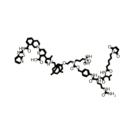 Cc1c(-c2ccc(N3CCc4cccc(C(=O)Nc5nc6cccnc6s5)c4C3)nc2C(=O)O)cnn1CC12CC3(C)CC(C)(C1)CC(OCCN(CCCP(=O)(O)O)C(=O)OCc1ccc(NC(=O)[C@H](CCCNC(N)=O)NC(=O)[C@@H](NC(=O)CCCCCN4C(=O)C=CC4=O)C(C)C)cc1)(C3)C2